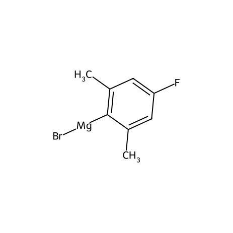 Cc1cc(F)cc(C)[c]1[Mg][Br]